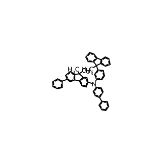 CC1(C)c2ccc(-c3ccccc3)cc2-c2ccc(N(c3ccc(-c4ccccc4)cc3)c3cccc(C4(C)c5ccccc5-c5ccccc54)c3)cc21